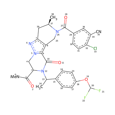 CNC(=O)C1Cn2nc3c(c2C(=O)N1C(C)c1ccc(OC(F)F)cc1)CN(C(=O)c1ccc(Cl)c(C#N)c1)[C@H](C)C3